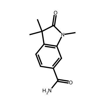 CN1C(=O)C(C)(C)c2ccc(C(N)=O)cc21